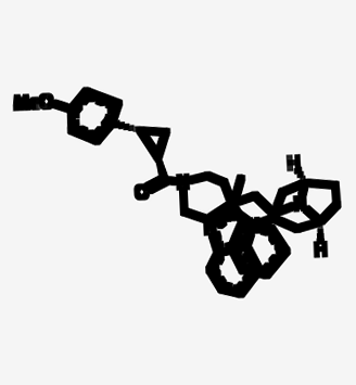 COc1ccc([C@@H]2C[C@H]2C(=O)N2CCC(CCN3[C@@H]4CC[C@H]3CC(n3c(C)nc5ccccc53)C4)(c3ccccc3)CC2)cc1